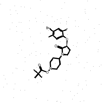 Cc1cc(O[C@H]2CCN(C3CCN(OC(=O)C(C)(C)C)CC3)C2=O)c(F)cc1Br